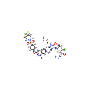 CCCCCN(C(=O)Nc1cc(C(N)=O)c(F)cc1F)C1CCN(Cc2ccc(Oc3ccc(S(=O)(=O)N4CCC(F)(F)CC4)cc3)nc2C)CC1